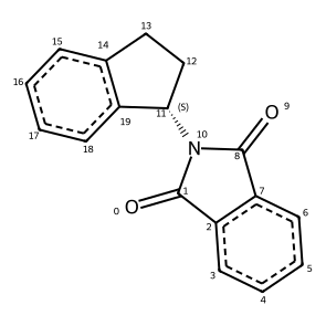 O=C1c2ccccc2C(=O)N1[C@H]1CCc2ccccc21